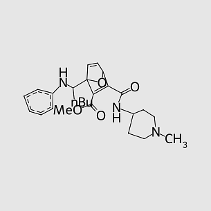 CCCCC(Nc1ccccc1)C12C=CC(O1)C(C(=O)NC1CCN(C)CC1)=C2C(=O)OC